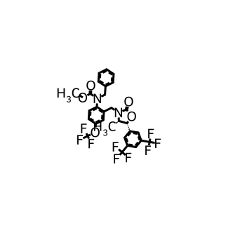 COC(=O)N(Cc1ccccc1)c1ccc(OC(F)(F)F)cc1CN1C(=O)O[C@H](c2cc(C(F)(F)F)cc(C(F)(F)F)c2)[C@@H]1C